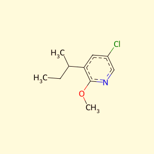 CCC(C)c1cc(Cl)cnc1OC